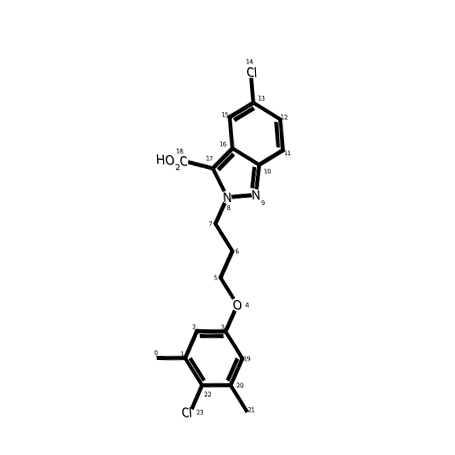 Cc1cc(OCCCn2nc3ccc(Cl)cc3c2C(=O)O)cc(C)c1Cl